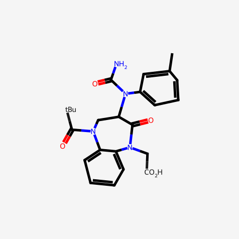 Cc1cccc(N(C(N)=O)C2CN(C(=O)C(C)(C)C)c3ccccc3N(CC(=O)O)C2=O)c1